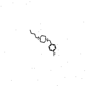 CCCCN1CCN(Cc2ccc(F)cc2)CC1